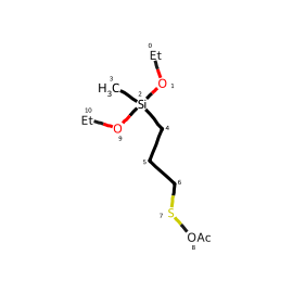 CCO[Si](C)(CCCSOC(C)=O)OCC